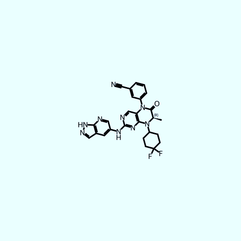 C[C@@H]1C(=O)N(c2cccc(C#N)c2)c2cnc(Nc3cnc4[nH]ncc4c3)nc2N1C1CCC(F)(F)CC1